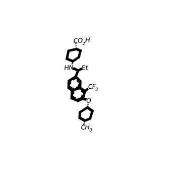 CCC(N[C@H]1CC[C@@H](C(=O)O)CC1)c1ccc2ccc(O[C@H]3CC[C@@H](C)CC3)c(C(F)(F)F)c2c1